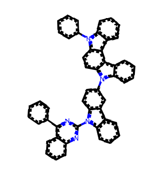 c1ccc(-c2nc(-n3c4ccccc4c4cc(-n5c6ccccc6c6c7c8ccccc8n(-c8ccccc8)c7ccc65)ccc43)nc3ccccc23)cc1